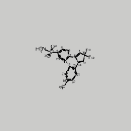 NS(=O)(=O)c1ccc(C2=CC(F)(F)C=C2c2ccc(F)cc2)nc1